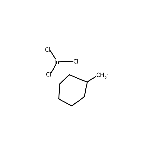 [CH2]C1CCCCC1.[Cl][In]([Cl])[Cl]